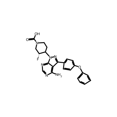 Nc1ncnc2c1c(-c1ccc(Oc3ccccc3)cc1)nn2C1CCN(C(=O)O)C[C@H]1F